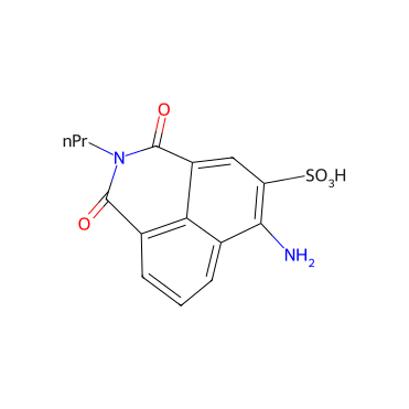 CCCN1C(=O)c2cccc3c(N)c(S(=O)(=O)O)cc(c23)C1=O